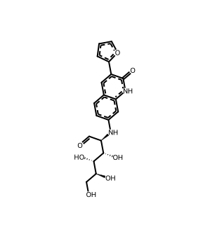 O=C[C@@H](Nc1ccc2cc(-c3ccco3)c(=O)[nH]c2c1)[C@H](O)[C@@H](O)[C@@H](O)CO